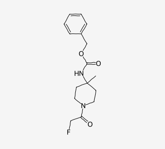 CC1(NC(=O)OCc2ccccc2)CCN(C(=O)CF)CC1